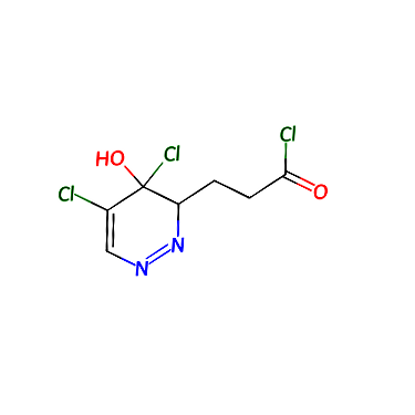 O=C(Cl)CCC1N=NC=C(Cl)C1(O)Cl